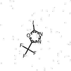 FC(F)(F)c1nnc(I)o1